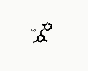 Cl.Fc1cc(F)cc(Cn2cccnc2=S)c1